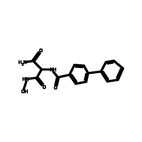 NC(=O)C(NC(=O)c1ccc(-c2ccccc2)cc1)C(=O)NO